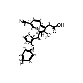 Cc1c(CC(=O)O)c2ccc(C#N)cn2c1Cc1sccc1Sc1ccc(F)cc1